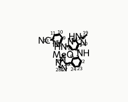 COc1c(Nc2cc(Nc3cccc(C#N)n3)nc3[nH]c(C)nc23)cccc1-c1ncnn1C